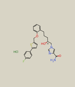 Cl.NC(=O)c1cn(C[C@@H](O)CCCc2ccccc2OCc2ccc(-c3ccc(F)cc3)s2)cn1